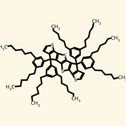 CCCCCCc1cc(CCCCCC)cc(C2(c3cc(CCCCCC)cc(CCCCCC)c3)c3ccsc3-c3sc4c5c(sc4c32)-c2sccc2C5(c2cc(CCCCCC)cc(CCCCCC)c2)c2cc(CCCCCC)cc(CCCCCC)c2)c1